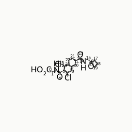 O=C(O)CNC(=O)c1c(Cl)cc2cc(C(=O)NCc3ccco3)ccc2c1Cl